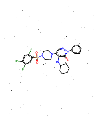 O=c1c(NC2CCCCC2)c(N2CCN(S(=O)(=O)c3cc(F)c(Br)cc3F)CC2)cnn1-c1ccccc1